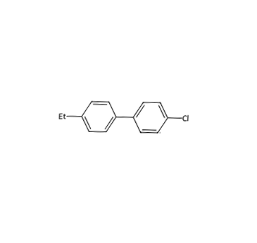 CCc1ccc(-c2c[c]c(Cl)cc2)cc1